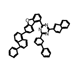 C1=CC(c2nc(-c3ccc4ccccc4c3)nc(-c3cccc4oc5cc(-c6cccc7c(-c8ccccc8)cccc67)ccc5c34)n2)CC(c2ccccc2)=C1